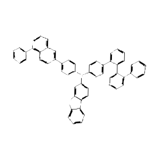 c1ccc(-c2ccccc2-c2ccccc2-c2ccc(N(c3ccc(-c4ccc5c(-c6ccccc6)cccc5c4)cc3)c3ccc4c(c3)oc3ccccc34)cc2)cc1